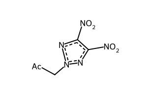 CC(=O)Cn1nc([N+](=O)[O-])c([N+](=O)[O-])n1